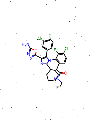 CC(C)CNC(=O)Cc1ccc(Cl)c(F)c1-n1c(C2CCCCC2)nc(-c2nnc(N)o2)c1-c1ccc(F)c(Cl)c1